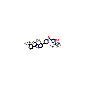 Cc1cc(-c2[nH]c3ccc(C4CCN(C(=O)C5CC(=O)N(C(C)(C)C)C5)CC4)cc3c2C(C)C)ccn1